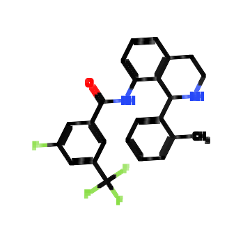 Cc1ccccc1C1NCCc2cccc(NC(=O)c3cc(F)cc(C(F)(F)F)c3)c21